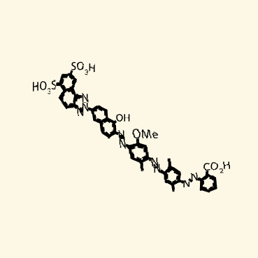 COc1cc(N=Nc2cc(C)c(N=Nc3ccccc3C(=O)O)cc2C)c(C)cc1N=Nc1ccc2cc(-n3nc4ccc5c(S(=O)(=O)O)cc(S(=O)(=O)O)cc5c4n3)ccc2c1O